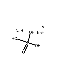 O=P(O)(O)O.[NaH].[NaH].[V]